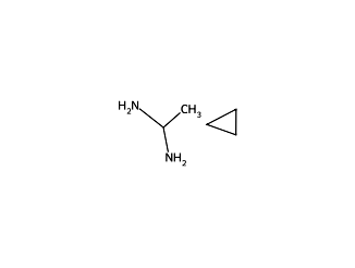 C1CC1.CC(N)N